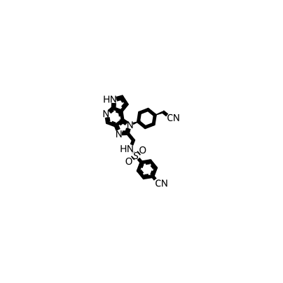 N#CC[C@H]1CC[C@@H](n2c(CNS(=O)(=O)c3ccc(C#N)cc3)nc3cnc4[nH]ccc4c32)CC1